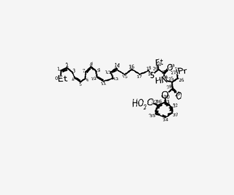 CC/C=C\C/C=C\C/C=C\C/C=C\C/C=C\CCCCSC(CC)C(=O)NC(CC(C)C)C(=O)Oc1ccccc1C(=O)O